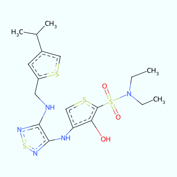 CCN(CC)S(=O)(=O)c1scc(Nc2nsnc2NCc2cc(C(C)C)cs2)c1O